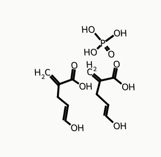 C=C(CC=CO)C(=O)O.C=C(CC=CO)C(=O)O.O=P(O)(O)O